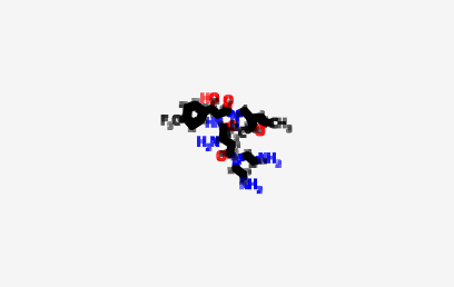 Cc1cc(CNC(=O)[C@@H](NC(=O)[C@@H](N)CC(=O)N(CCN)CCN)[C@H](O)c2ccc(C(F)(F)F)cc2)c(C(F)(F)F)o1